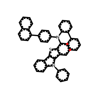 c1ccc(-c2ccccc2N(c2ccc(-c3cccc4ccccc34)cc2)c2cccc3c2sc2c4ccccc4n(-c4ccccc4)c32)cc1